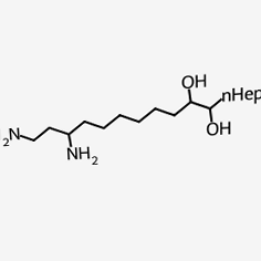 CCCCCCCC(O)C(O)CCCCCCC(N)CCN